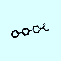 CCC(=O)N1CCN(c2ccc(-c3ccccc3)cc2)CC1